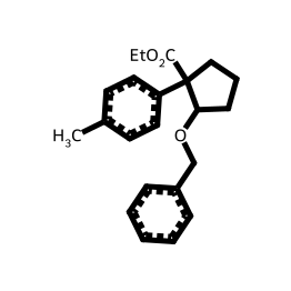 CCOC(=O)C1(c2ccc(C)cc2)CCCC1OCc1ccccc1